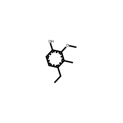 CCc1ccc(O)c(OC)c1C